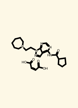 O=C(Nc1ncnc2c1cnn2CCN1CCCCCC1)C1CCCC1.O=C(O)/C=C\C(=O)O